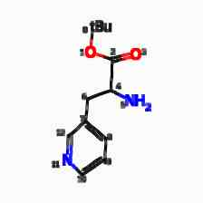 CC(C)(C)OC(=O)C(N)Cc1c[c]cnc1